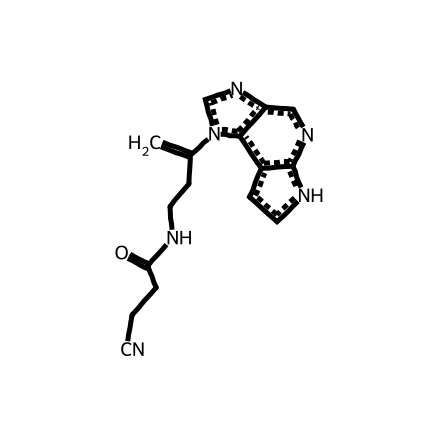 C=C(CCNC(=O)CCC#N)n1cnc2cnc3[nH]ccc3c21